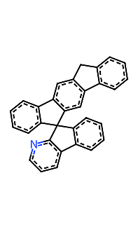 c1ccc2c(c1)Cc1cc3c(cc1-2)C1(c2ccccc2-3)c2ccccc2-c2cccnc21